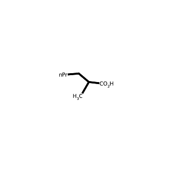 [CH2]CCCC(C)C(=O)O